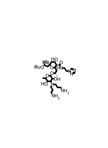 CC(C)CO[C@H](C[C@]1(O)C[C@H](O)[C@@H](C(=O)NCCn2cncn2)C(C[C@H](C)OC2OC(C)C(O)C(N(CCCN)CCCN)C2O)O1)C(C)C